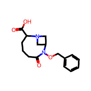 O=C(O)C1CCCC(=O)N(OCc2ccccc2)C2CN1C2